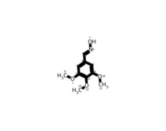 COc1cc(/C=N/O)cc(OC)c1OC